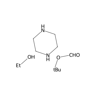 C1CNCCN1.CC(C)(C)OC=O.CCO